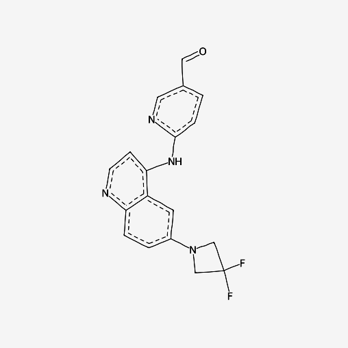 O=Cc1ccc(Nc2ccnc3ccc(N4CC(F)(F)C4)cc23)nc1